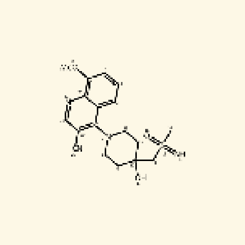 COc1cccc2c(N3CCC(O)(CS(C)(=N)=O)CC3)c(C#N)cnc12